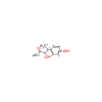 CCCC(=O)C(O)C(C)c1ccc(O)cc1